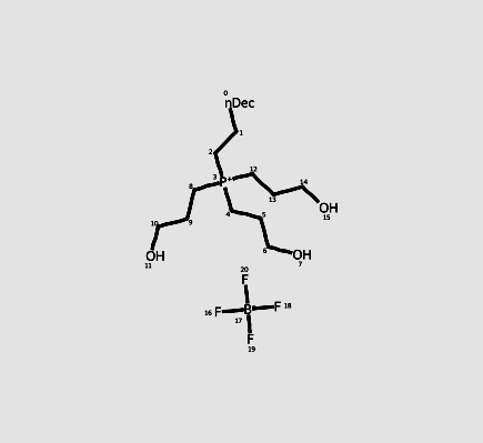 CCCCCCCCCCCC[P+](CCCO)(CCCO)CCCO.F[B-](F)(F)F